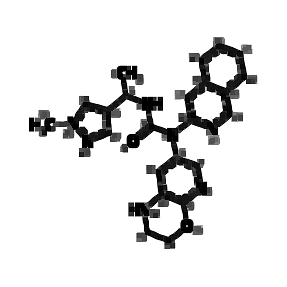 CC(NC(=O)N(c1cnc2c(c1)NCCO2)c1cc2ccccc2cn1)c1cnn(C)c1